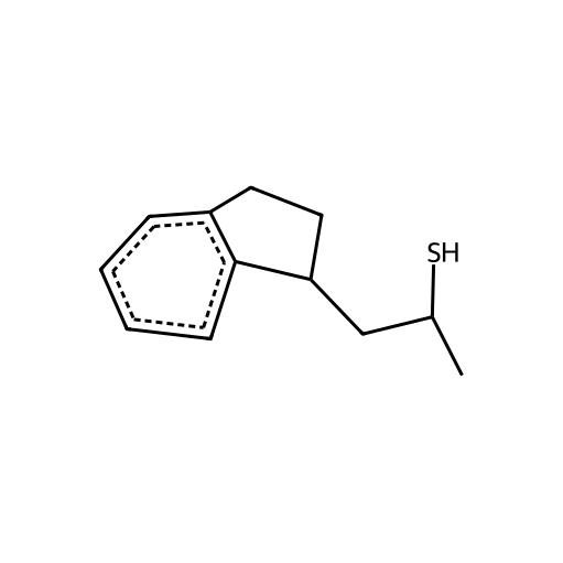 CC(S)CC1CCc2ccccc21